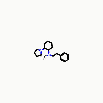 CN(CCc1ccccc1)C1CCCCC1N1CCCC1